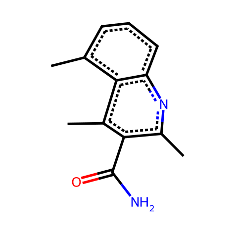 Cc1nc2cccc(C)c2c(C)c1C(N)=O